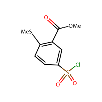 COC(=O)c1cc(S(=O)(=O)Cl)ccc1SC